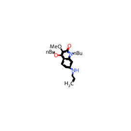 C=CCNc1ccc2c(OCCCC)c(OC)c(=O)n(CCCC)c2c1